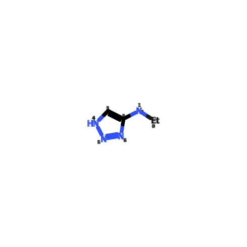 CC[N]c1c[nH]nn1